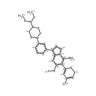 CCN(CC)C1CCN(c2cccc(-c3cnn4c(N)c(C5=CC(Cl)=CCC5)c(CF)nc34)c2)CC1